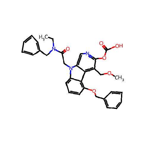 CCN(Cc1ccccc1)C(=O)Cn1c2cccc(OCc3ccccc3)c2c2c(COC)c(OC(=O)O)ncc21